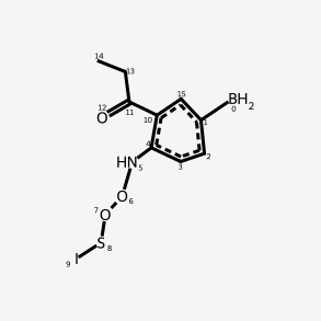 Bc1ccc(NOOSI)c(C(=O)CC)c1